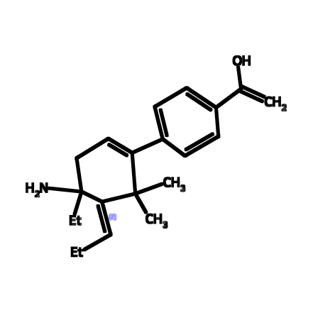 C=C(O)c1ccc(C2=CCC(N)(CC)/C(=C\CC)C2(C)C)cc1